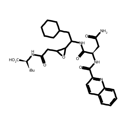 CC[C@H](C)[C@H](NC(=O)CC1OC1C(CC1CCCCC1)NC(=O)[C@@H](CC(N)=O)NC(=O)c1ccc2ccccc2n1)C(=O)O